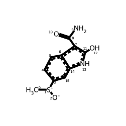 C[S+]([O-])c1ccc2c(C(N)=O)c(O)[nH]c2c1